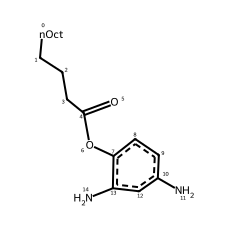 CCCCCCCCCCCC(=O)Oc1ccc(N)cc1N